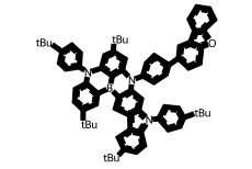 CC(C)(C)c1ccc(N2c3ccc(C(C)(C)C)cc3B3c4cc5c6cc(C(C)(C)C)ccc6n(-c6ccc(C(C)(C)C)cc6)c5cc4N(c4ccc(-c5ccc6oc7ccccc7c6c5)cc4)c4cc(C(C)(C)C)cc2c43)cc1